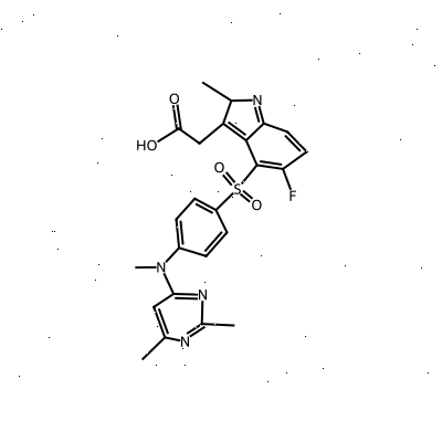 Cc1cc(N(C)c2ccc(S(=O)(=O)c3c(F)ccc4c3=C(CC(=O)O)C(C)N=4)cc2)nc(C)n1